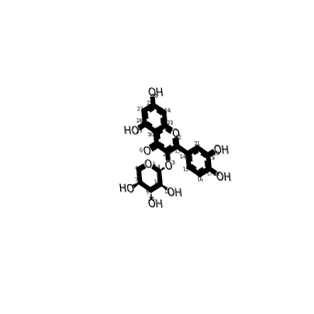 O=c1c(O[C@H]2OC[C@H](O)[C@@H](O)[C@@H]2O)c(-c2ccc(O)c(O)c2)oc2cc(O)cc(O)c12